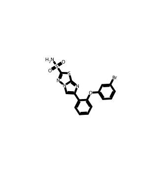 NS(=O)(=O)c1nn2cc(-c3ccccc3Oc3cccc(Br)c3)nc2s1